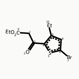 CCOC(=O)CC(=O)c1sc(Br)cc1CC